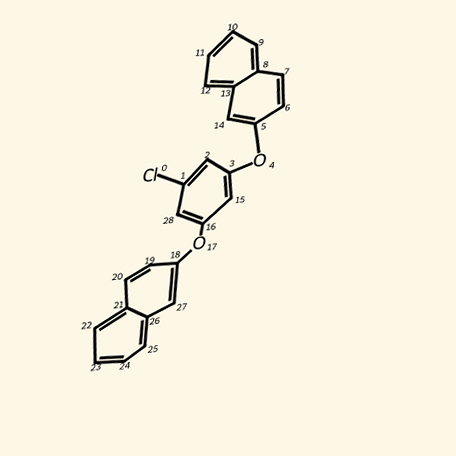 Clc1cc(Oc2ccc3ccccc3c2)cc(Oc2ccc3ccccc3c2)c1